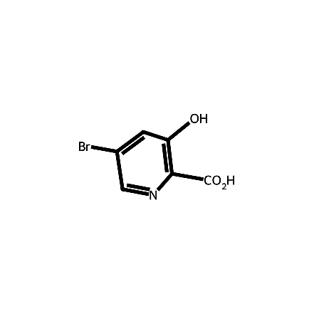 O=C(O)c1ncc(Br)cc1O